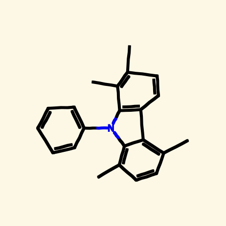 Cc1ccc2c3c(C)ccc(C)c3n(-c3ccccc3)c2c1C